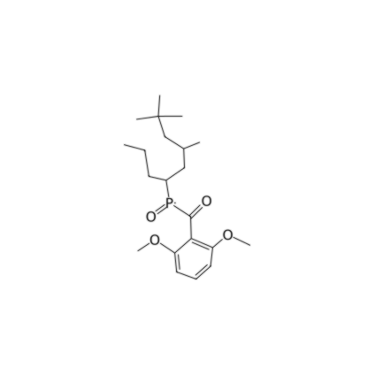 CCCC(CC(C)CC(C)(C)C)[P](=O)C(=O)c1c(OC)cccc1OC